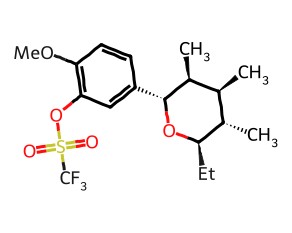 CC[C@H]1O[C@H](c2ccc(OC)c(OS(=O)(=O)C(F)(F)F)c2)[C@@H](C)[C@@H](C)[C@@H]1C